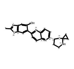 Cc1nc2cc(O)c(-c3ccc4nc([C@H]5CCNC6(CC6)C5)ccc4n3)cc2o1